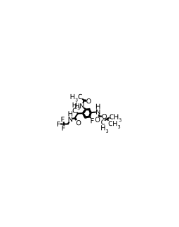 CC(=O)Nc1cc(NC(=O)OC(C)(C)C)c(F)cc1C(C)C(=O)NCC(F)(F)F